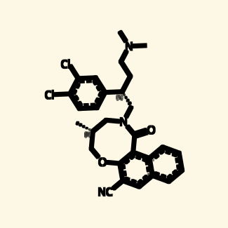 C[C@H]1COc2c(C#N)cc3ccccc3c2C(=O)N(C[C@@H](CCN(C)C)c2ccc(Cl)c(Cl)c2)C1